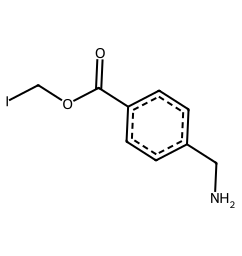 NCc1ccc(C(=O)OCI)cc1